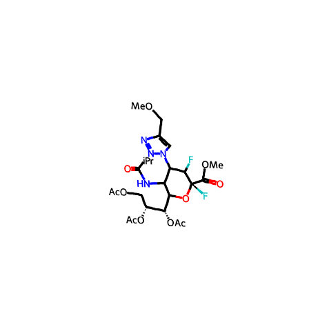 COCc1cn(C2C(NC(=O)C(C)C)C([C@H](OC(C)=O)[C@@H](COC(C)=O)OC(C)=O)O[C@@](F)(C(=O)OC)C2F)nn1